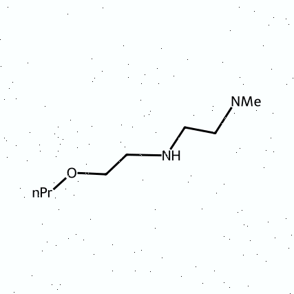 CCCOCCNCCNC